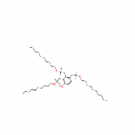 CCCCCCCCCCOC(C)(C)Cc1ccc(O)c(CC(C)(C)OCCCCCCCCCC)c1CC(C)(C)OCCCCCCCCCC